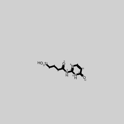 O=C(CCCS(=O)(=O)O)Nc1nccc(=O)[nH]1